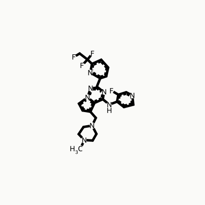 CN1CCN(Cc2ccn3nc(-c4cccc(C(F)(F)CF)n4)nc(Nc4ccncc4F)c23)CC1